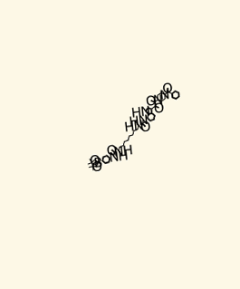 CC1(C)OB(c2ccc(NC(=O)NCCCCCCCCNC(=O)Nc3cccc4c(C(=O)C(=O)N5CCN(C(=O)c6ccccc6)CC5)c[nH]c34)cc2)OC1(C)C